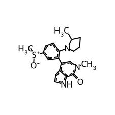 CC1CCCN1c1ccc([S+](C)[O-])cc1-c1cn(C)c(=O)c2[nH]ccc12